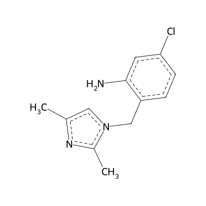 Cc1cn(Cc2ccc(Cl)cc2N)c(C)n1